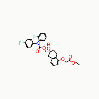 CCOC(=O)COc1cccc2c1CC[C@](O)(COC(=O)N(c1ccc(F)cc1)c1ccccc1F)C2